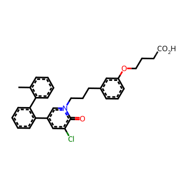 Cc1ccccc1-c1ccccc1-c1cc(Cl)c(=O)n(CCCc2cccc(OCCCC(=O)O)c2)c1